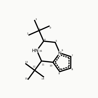 CC(C)(C)C1Cn2cccc2C(C(C)(C)C)N1